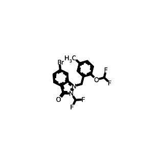 Cc1ccc(OC(F)F)c(Cn2c3cc(Br)ccc3c(=O)n2C(F)F)c1